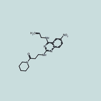 C=CCNc1nc(NCCC(=O)N2CCCCC2)nc2ccc([N+](=O)[O-])cc12